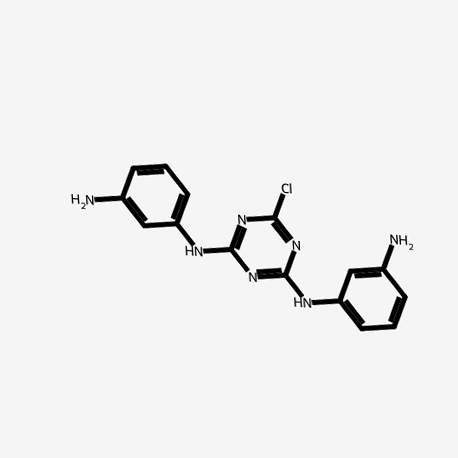 Nc1cccc(Nc2nc(Cl)nc(Nc3cccc(N)c3)n2)c1